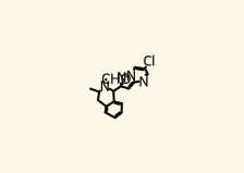 CC1Cc2ccccc2C(c2cc3ncc(Cl)cn3n2)N1C=O